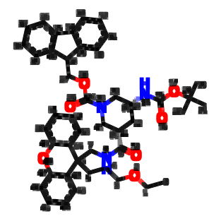 CCOCCCC1(CNC(=O)[C@H]2C[C@@H](NC(=O)OC(C)(C)C)CN(C(=O)OCC3c4ccccc4-c4ccccc43)C2)c2ccccc2Oc2ccccc21